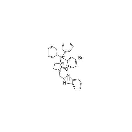 O=C1[C@H]([P+](c2ccccc2)(c2ccccc2)c2ccccc2)CCN1Cc1nc2ccccc2[nH]1.[Br-]